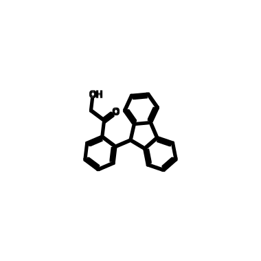 O=C(CO)c1ccccc1C1c2ccccc2-c2ccccc21